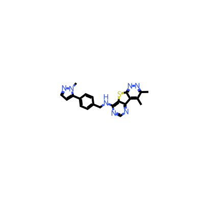 Cc1nnc2sc3c(NCc4ccc(-c5ccnn5C)cc4)ncnc3c2c1C